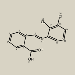 O=C(O)c1ccccc1C=Nc1cccc(Cl)c1Cl